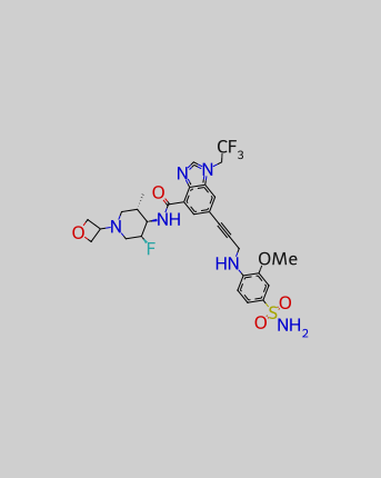 COc1cc(S(N)(=O)=O)ccc1NCC#Cc1cc(C(=O)N[C@@H]2[C@@H](C)CN(C3COC3)C[C@@H]2F)c2ncn(CC(F)(F)F)c2c1